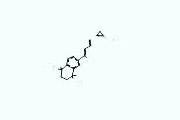 C/C(=C\C=C\[C@@H]1C[C@H]1C(=O)O)c1ccc2c(c1)C(C)(C)CCC2(C)C